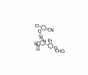 CCc1cc(OC=O)ccc1-c1cc2[nH]ncc2c(N2CC(Oc3cc(C#N)ccc3Cl)C2)n1